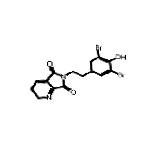 O=C1C2=CCCN=C2C(=O)N1CCC1C=C(Br)C(O)=C(Br)C1